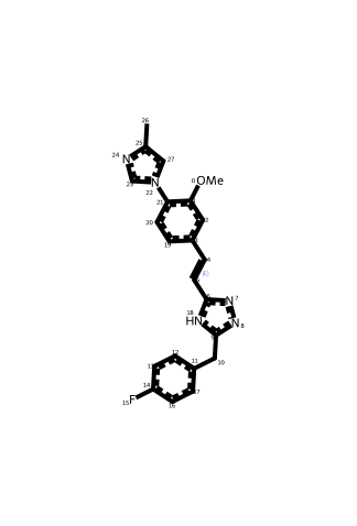 COc1cc(/C=C/c2nnc(Cc3ccc(F)cc3)[nH]2)ccc1-n1cnc(C)c1